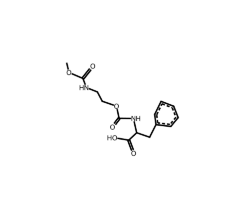 COC(=O)NCCOC(=O)NC(Cc1ccccc1)C(=O)O